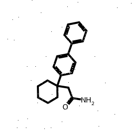 NC(=O)CC1(c2ccc(-c3ccccc3)cc2)CCCCC1